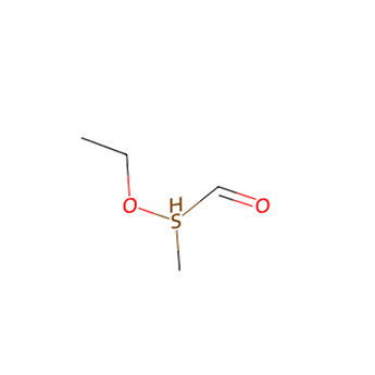 CCO[SH](C)C=O